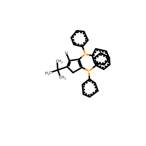 [Li][C]1=C(C(C)(C)C)CC(P(c2ccccc2)c2ccccc2)=C1P(c1ccccc1)c1ccccc1